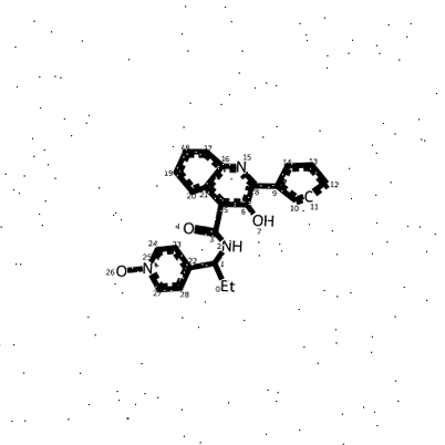 CCC(NC(=O)c1c(O)c(-c2ccccc2)nc2ccccc12)c1cc[n+]([O-])cc1